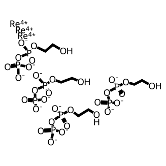 O=P([O-])([O-])OP(=O)([O-])OCCO.O=P([O-])([O-])OP(=O)([O-])OCCO.O=P([O-])([O-])OP(=O)([O-])OCCO.O=P([O-])([O-])OP(=O)([O-])OCCO.[Re+4].[Re+4].[Re+4]